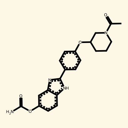 CC(=O)N1CCCC(Oc2ccc(-c3nc4cc(OC(N)=O)ccc4[nH]3)cc2)C1